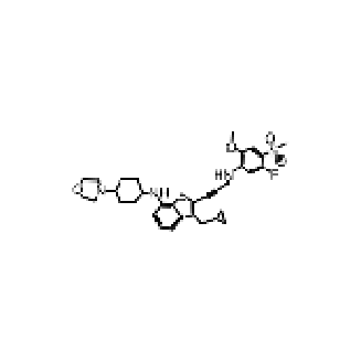 COc1cc(S(C)(=O)=O)c(F)cc1NCC#Cc1sc2c(NC3CCC(N4CCOCC4)CC3)cccc2c1CC1CC1